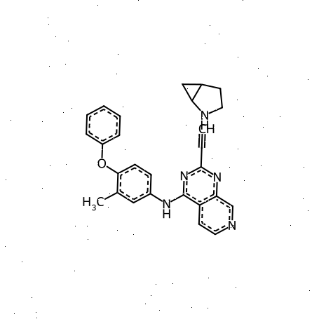 C#Cc1nc(Nc2ccc(Oc3ccccc3)c(C)c2)c2ccncc2n1.C1CC2CC2N1